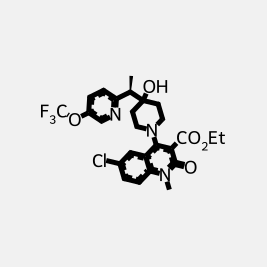 CCOC(=O)c1c(N2CCC(O)([C@H](C)c3ccc(OC(F)(F)F)cn3)CC2)c2cc(Cl)ccc2n(C)c1=O